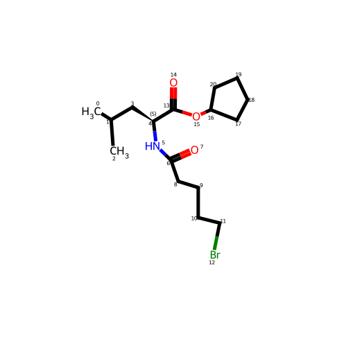 CC(C)C[C@H](NC(=O)CCCCBr)C(=O)OC1CCCC1